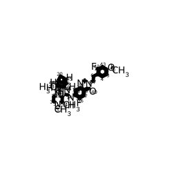 COc1ccc(CCn2cnc3cc(NC(=N[C@H]4C[C@H]5C[C@@H]([C@@H]4C)C5(C)C)[C@@H]4NCCN(C)C4C)c(F)cc3c2=O)c(F)c1